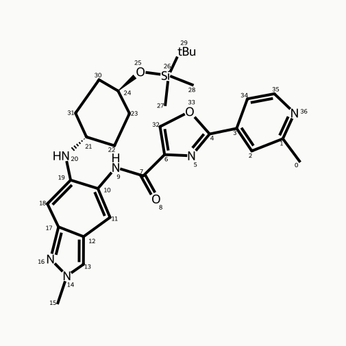 Cc1cc(-c2nc(C(=O)Nc3cc4cn(C)nc4cc3N[C@H]3CC[C@H](O[Si](C)(C)C(C)(C)C)CC3)co2)ccn1